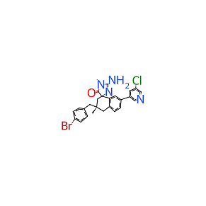 CN1C(=O)C2(C[C@@](C)(Cc3ccc(Br)cc3)Cc3ccc(-c4cncc(Cl)c4)cc32)N=C1N